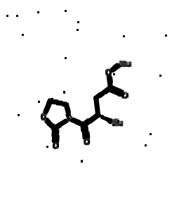 CC(C)(C)OC(=O)C[C@H](C(=O)N1CCOC1=O)C(C)(C)C